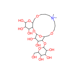 C[N+]1(C)CCCOCC2OC(O)C(O)C(O)C2OC2OC(COCCC1)C(OC1OC(CO)C(O)C(O)C1O)C(O)C2O